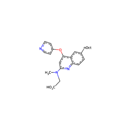 CCCCCCCCc1ccc2nc(N(C)CC(=O)O)cc(Oc3ccncc3)c2c1